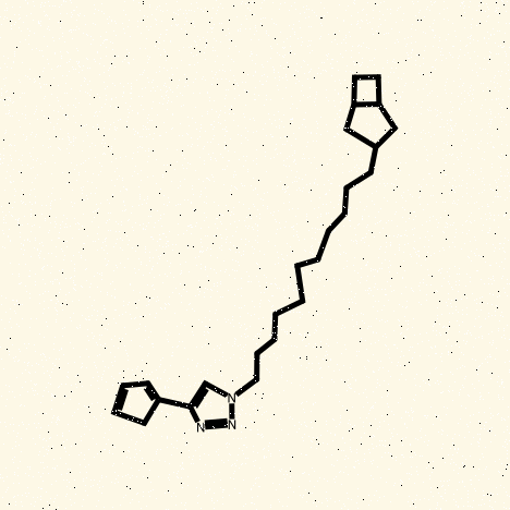 C1=CCC(c2cn(CCCCCCCCCCCC3CC4CCC4C3)nn2)=C1